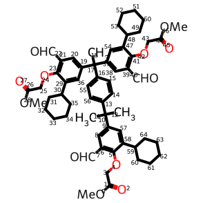 COC(=O)COc1c(C=O)cc(C(C)(C)c2ccc(C(C)(c3cc(C=O)c(OCC(=O)OC)c(C4CCCCC4)c3)c3cc(C=O)c(OCC(=O)OC)c(C4CCCCC4)c3)cc2)cc1C1CCCCC1